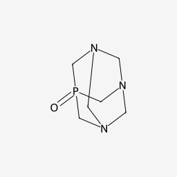 O=P12CN3CN(CN(C3)C1)C2